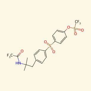 CC(C)(Cc1ccc(S(=O)(=O)c2ccc(OS(=O)(=O)C(F)(F)F)cc2)cc1)NC(=O)C(F)(F)F